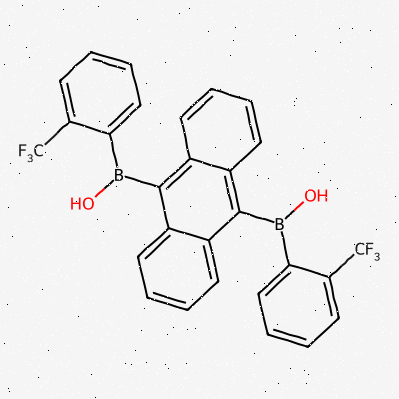 OB(c1ccccc1C(F)(F)F)c1c2ccccc2c(B(O)c2ccccc2C(F)(F)F)c2ccccc12